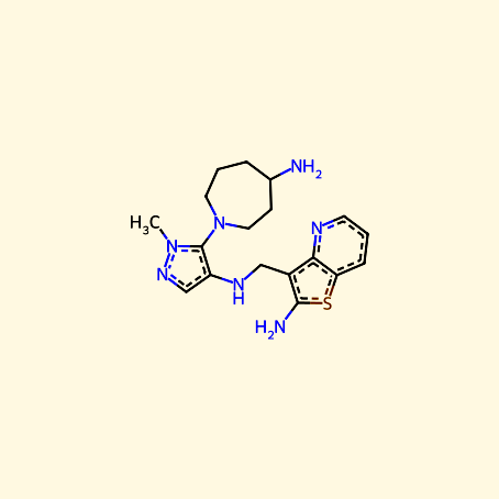 Cn1ncc(NCc2c(N)sc3cccnc23)c1N1CCCC(N)CC1